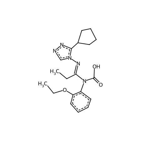 CCOc1ccccc1N(C(=O)O)C(CC)=Nn1cnnc1C1CCCC1